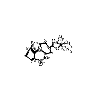 CC(C)(C)OC(=O)N1CCN(c2c(Br)cccc2[N+](=O)[O-])CC1